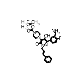 Cc1c(-c2ccc(F)c(CN)c2)nn(CC=Cc2ccccc2)c(=O)c1N1CCN(C(=O)OC(C)(C)C)CC1